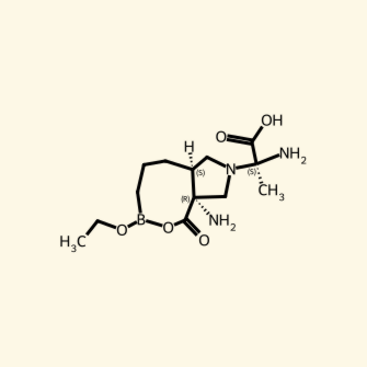 CCOB1CCC[C@H]2CN([C@](C)(N)C(=O)O)C[C@@]2(N)C(=O)O1